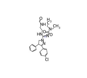 CCN(CC)S(=O)(=O)/N=C(\NCCNC=O)N1CC(c2ccccc2)C(c2ccc(Cl)cc2)=N1